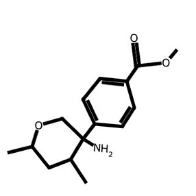 COC(=O)c1ccc(C2(N)COC(C)CC2C)cc1